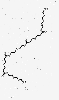 O=C(CCSCCC(=O)SCCSCSCO)SCCSCCSC(=O)CCSCCC(=O)SCCSCSCO